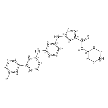 Cc1cccc(-c2nccc(Nc3ccnc(Nc4csc(C(=O)OC5CCNCC5)c4)n3)n2)n1